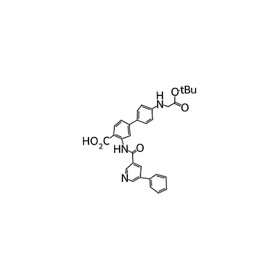 CC(C)(C)OC(=O)CNc1ccc(-c2ccc(C(=O)O)c(NC(=O)c3cncc(-c4ccccc4)c3)c2)cc1